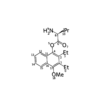 CCc1c(CC)c(OC(=O)[C@@H](N)C(C)C)c2ccccc2c1OC